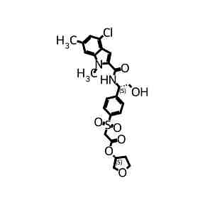 Cc1cc(Cl)c2cc(C(=O)N[C@H](CO)c3ccc(S(=O)(=O)CC(=O)O[C@H]4CCOC4)cc3)n(C)c2c1